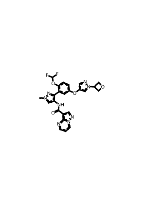 Cn1cc(NC(=O)c2cnn3cccnc23)c(-c2cc(Oc3cnn(C4COC4)c3)ccc2OC(F)F)n1